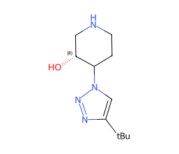 CC(C)(C)c1cn(C2CCNC[C@H]2O)nn1